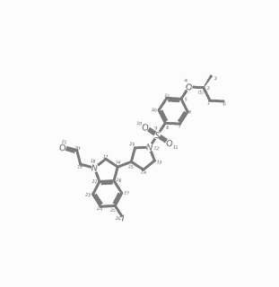 CC[C@H](C)Oc1ccc(S(=O)(=O)N2CCC(C3CN(CC=O)c4ccc(I)cc43)C2)cc1